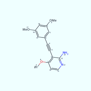 COc1cc(C#Cc2c(OC(C)C)ccnc2N)cc(OC)c1